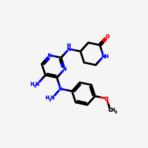 COc1ccc(N(N)c2nc(NC3CCNC(=O)C3)ncc2N)cc1